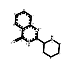 O=c1[nH]c(C2CCCCN2)nc2ccccc12